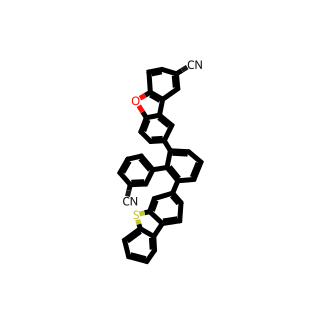 N#Cc1cccc(-c2c(-c3ccc4c(c3)sc3ccccc34)cccc2-c2ccc3oc4ccc(C#N)cc4c3c2)c1